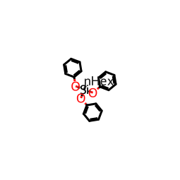 CCCCCC[Si](Oc1ccccc1)(Oc1ccccc1)Oc1ccccc1